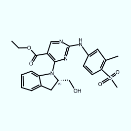 CCOC(=O)c1cnc(Nc2ccc(S(C)(=O)=O)c(C)c2)nc1N1c2ccccc2C[C@H]1CO